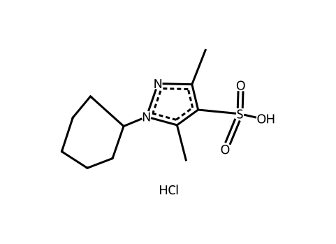 Cc1nn(C2CCCCC2)c(C)c1S(=O)(=O)O.Cl